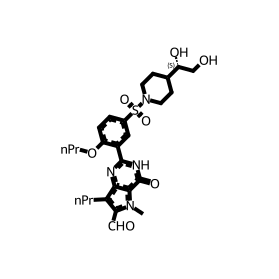 CCCOc1ccc(S(=O)(=O)N2CCC([C@H](O)CO)CC2)cc1-c1nc2c(CCC)c(C=O)n(C)c2c(=O)[nH]1